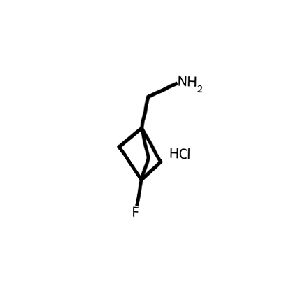 Cl.NCC12CC(F)(C1)C2